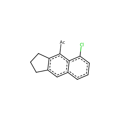 CC(=O)c1c2c(cc3cccc(Cl)c13)CCC2